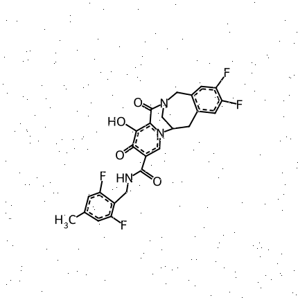 Cc1cc(F)c(CNC(=O)c2cn3c(c(O)c2=O)C(=O)N2Cc4cc(F)c(F)cc4CC3C2)c(F)c1